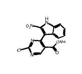 COC(=O)c1cnc(Cl)nc1-c1c([N+](=O)[O-])[nH]c2ccccc12